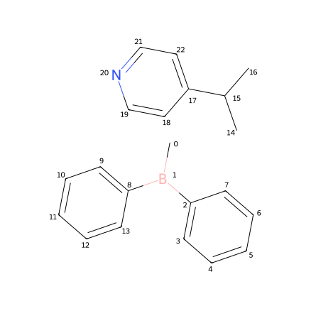 CB(c1ccccc1)c1ccccc1.CC(C)c1ccncc1